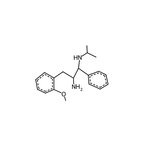 COc1ccccc1CC(N)C(NC(C)C)c1ccccc1